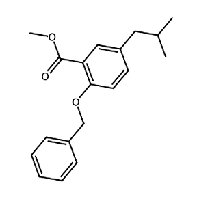 COC(=O)c1cc(CC(C)C)ccc1OCc1ccccc1